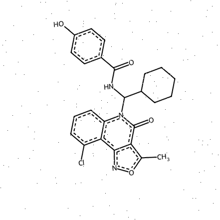 Cc1onc2c1c(=O)n(C(NC(=O)c1ccc(O)cc1)C1CCCCC1)c1cccc(Cl)c21